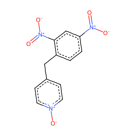 O=[N+]([O-])c1ccc(Cc2cc[n+]([O-])cc2)c([N+](=O)[O-])c1